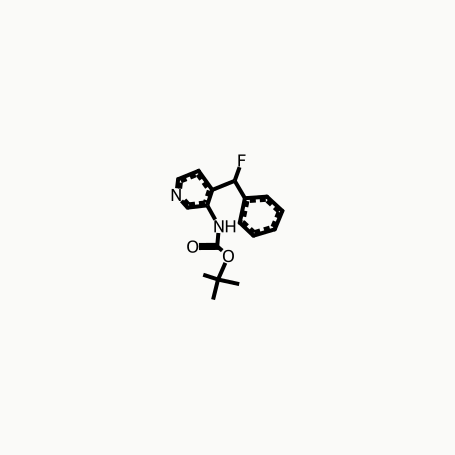 CC(C)(C)OC(=O)Nc1cnccc1C(F)c1ccccc1